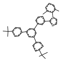 Cc1cccc(C)c1-n1ccnc1-c1cccc(-c2cc(-c3ccc(C(C)(C)C)cc3)cc(-c3ccc(C(C)(C)C)cc3)c2)c1